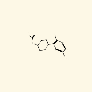 Nc1ccc(O)cc1C1CCC(NC(=O)O)CC1